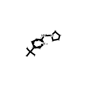 CC(C)(C)c1ccc(NN2CCCC2)nc1